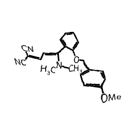 COc1ccc(COc2ccccc2/C(=C/C=C(C#N)C#N)N(C)C)cc1